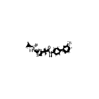 CC(C)(C(=O)Nc1ccc(-c2cccc(C#N)c2)cc1)c1csc(N[S+]([O-])C2CC2)n1